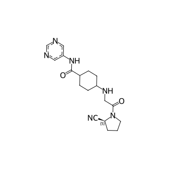 N#C[C@@H]1CCCN1C(=O)CNC1CCC(C(=O)Nc2cncnc2)CC1